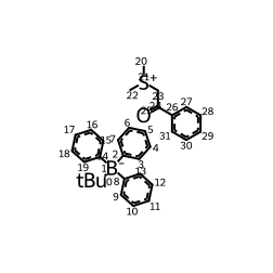 CC(C)(C)[B-](c1ccccc1)(c1ccccc1)c1ccccc1.C[S+](C)CC(=O)c1ccccc1